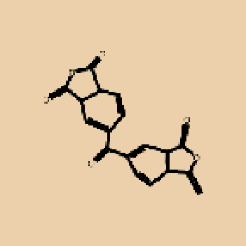 C=C1OC(=O)C2C=C(C(=O)C3=CC4C(=O)OC(=O)C4C=C3)C=CC12